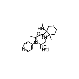 CNC1(C(=O)OC(C)=O)CCCCC1(C)N1CCN(c2ccncc2)CC1.Cl.Cl